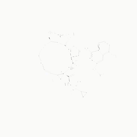 CC(C)Oc1cc2c(Cl)cccc2c(O[C@@H]2C[C@H]3C(=O)N[C@]4(C(=O)NS(=O)(=O)C5CC5)C[C@H]4/C=C\CC[C@H](C)C[C@@H](C)[C@H](N(C(=O)O)C(C)(C)C)C(=O)N3C2)n1